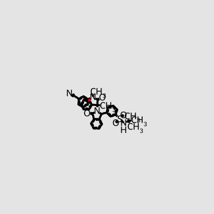 CN(C(=O)C(C)(c1ccccc1)N1C(=O)c2ccccc2C1c1cccc(S(=O)(=O)NC(C)(C)C)c1)c1cccc(C#N)c1